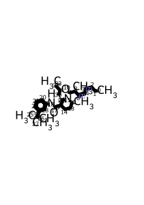 CC/C=C\C=C(\C)C(C)C(=O)N1CCCC(C(=O)Nc2cccc(C(C)(C)C)c2)[C@@H]1CCCC